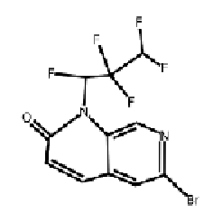 O=c1ccc2cc(Br)ncc2n1C(F)C(F)(F)C(F)F